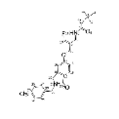 CC(C)(C)OC(=O)NCC(=CF)COc1ccc2c(c1)CN(Cc1ccc(Cl)cc1)C2=O